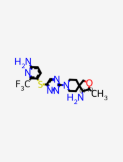 C[C@@H]1OCC2(CCN(c3ncc(Sc4ccc(N)nc4C(F)(F)F)nn3)CC2)[C@@H]1N